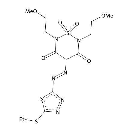 CCSc1nnc(N=NC2C(=O)N(CCOC)S(=O)(=O)N(CCOC)C2=O)s1